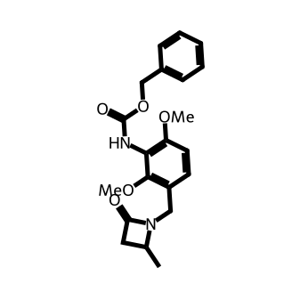 COc1ccc(CN2C(=O)CC2C)c(OC)c1NC(=O)OCc1ccccc1